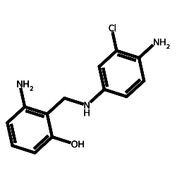 Nc1ccc(NCc2c(N)cccc2O)cc1Cl